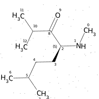 CN[C@@H](CCC(C)C)C(=O)C(C)C